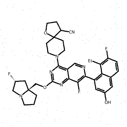 CCc1c(F)ccc2cc(O)cc(-c3ncc4c(N5CCC6(CC5)OCCC6C#N)nc(OC[C@@]56CCCN5C[C@H](F)C6)nc4c3F)c12